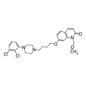 COCn1c(=O)ccc2ccc(OCCCCN3CCN(c4cccc(Cl)c4Cl)CC3)cc21